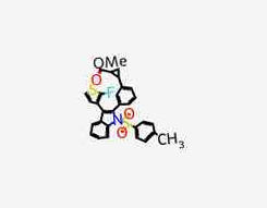 COC(=O)C1CC1c1cccc(-c2c(-c3ccsc3F)c3ccccc3n2S(=O)(=O)c2ccc(C)cc2)c1